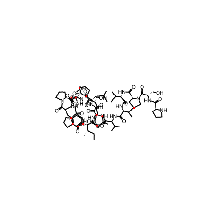 CC[C@H](C)[C@H](NC(=O)[C@@H]1CCCN1C(=O)CNC(=O)[C@@H]1CCCN1C(=O)[C@H](CC(C)C)NC(=O)[C@@H](NC(=O)[C@@H](NC(=O)[C@@H](NC(=O)[C@@H](NC(=O)[C@@H]1CCCN1C(=O)[C@H](CO)NC(=O)[C@@H]1CCCN1)C(C)C)C(C)C)C(C)C)[C@@H](C)O)C(=O)N[C@@H](CC(C)C)C(=O)N[C@@H](CO)C(=O)N[C@@H](CO)C(=O)N[C@@H](Cc1ccccc1)C(=O)N1CCC[C@H]1C(=O)O